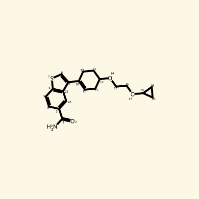 NC(=O)c1ccc2scc(C3=CCC(OCCOC4CC4)CC3)c2c1